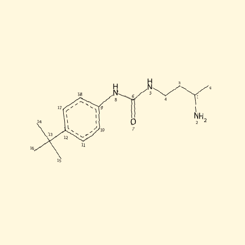 CC(N)CCNC(=O)Nc1ccc(C(C)(C)C)cc1